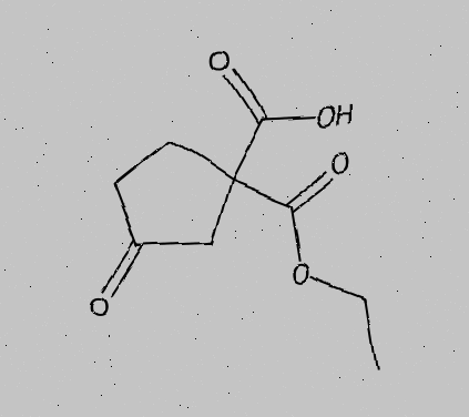 CCOC(=O)C1(C(=O)O)CCC(=O)C1